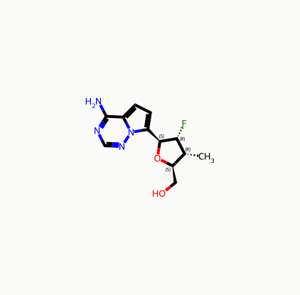 C[C@H]1[C@@H](F)[C@H](c2ccc3c(N)ncnn23)O[C@@H]1CO